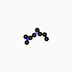 c1ccc(-c2cccc(-c3ccc4c(c3)c3ccccc3n4-c3ccc(-c4ccc5c(c4)c4ccccc4n5-c4ccccc4)cc3)c2)cc1